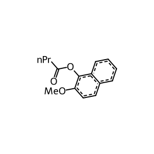 CCCC(=O)Oc1c(OC)ccc2ccccc12